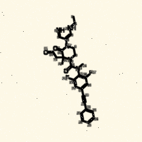 CCN/C=C(\C=N)N1CCN(C(=O)N(C)c2c(F)cc(C#Cc3ccccc3)cc2F)C(C)(CC=O)C1=O